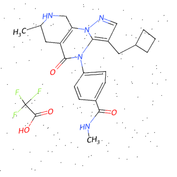 CNC(=O)c1ccc(-n2c(=O)c3c(n4ncc(CC5CCC5)c24)CNC(C)C3)cc1.O=C(O)C(F)(F)F